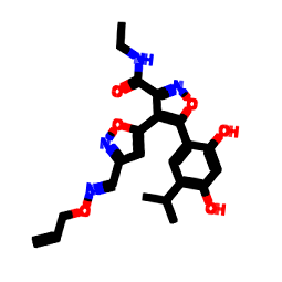 C=CCON=Cc1cc(-c2c(C(=O)NCC)noc2-c2cc(C(C)C)c(O)cc2O)on1